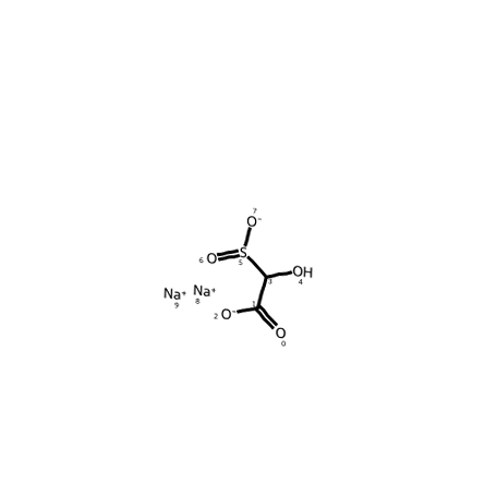 O=C([O-])C(O)S(=O)[O-].[Na+].[Na+]